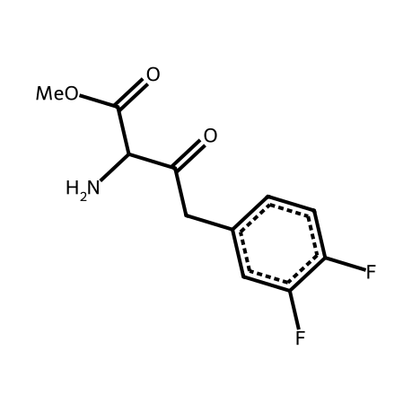 COC(=O)C(N)C(=O)Cc1ccc(F)c(F)c1